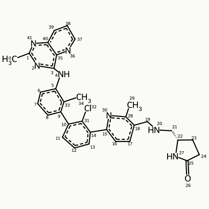 Cc1nc(Nc2cccc(-c3cccc(-c4ccc(CNC[C@@H]5CCC(=O)N5)c(C)n4)c3Cl)c2C)c2ncccc2n1